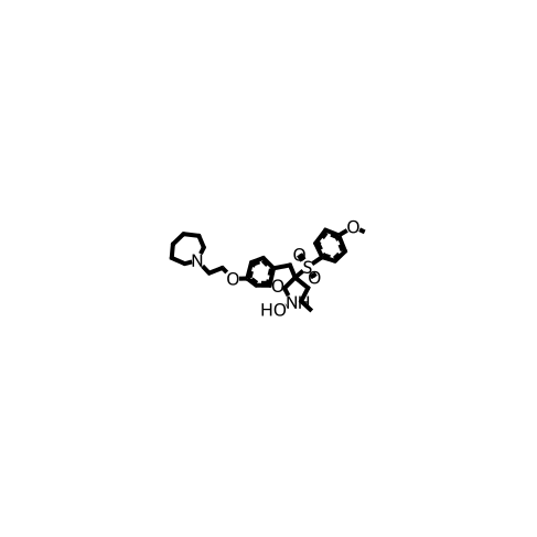 CCCC(Cc1ccc(OCCN2CCCCCC2)cc1)(C(=O)NO)S(=O)(=O)c1ccc(OC)cc1